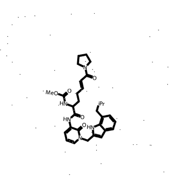 COC(=O)NC(CCC=CC(=O)N1CCCC1)C(=O)Nc1cccn(Cc2cc3cccc(CC(C)C)c3[nH]2)c1=O